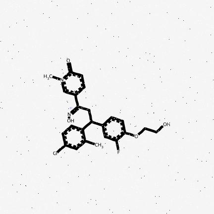 Cc1cc(Cl)ccc1C(C/C(=N\O)c1ccc(=O)n(C)c1)c1ccc(OCCO)c(F)c1